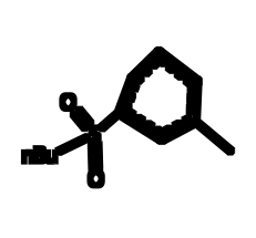 CCCCS(=O)(=O)c1cccc(C)c1